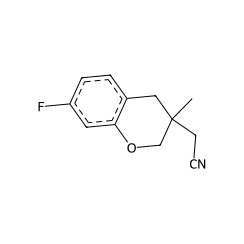 CC1(CC#N)COc2cc(F)ccc2C1